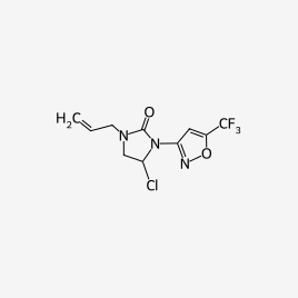 C=CCN1CC(Cl)N(c2cc(C(F)(F)F)on2)C1=O